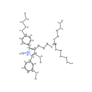 CCCCC[CH2][Ni][CH2]CCCCC.CCCCCc1ccc(C2=C(CCCC)C(CC)=C(c3cccc(CC)c3)[N+]2=[N-])cc1